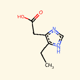 CCc1[nH]cnc1CC(=O)O